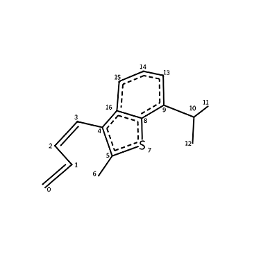 C=C/C=C\c1c(C)sc2c(C(C)C)cccc12